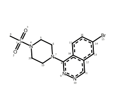 CS(=O)(=O)N1CCN(c2nncc3cc(Br)ccc23)CC1